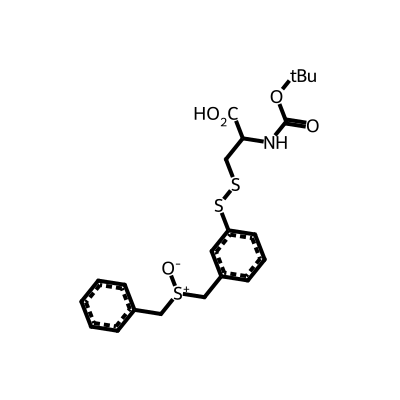 CC(C)(C)OC(=O)NC(CSSc1cccc(C[S+]([O-])Cc2ccccc2)c1)C(=O)O